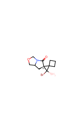 BC1(Br)C2(CCC2)[C@]12CC1COCN1C2=O